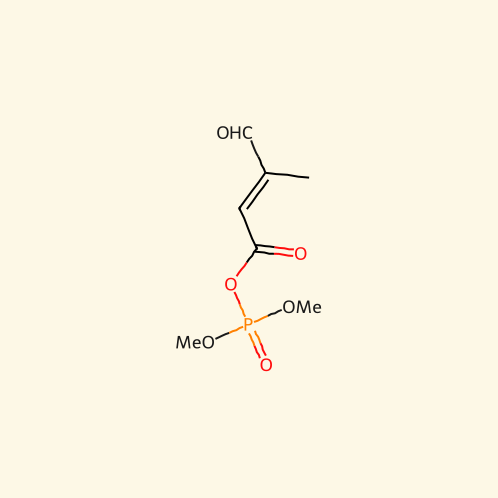 COP(=O)(OC)OC(=O)C=C(C)C=O